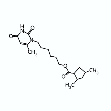 Cc1cc(=O)[nH]c(=O)n1CCCCCCOC(=O)C1CC(C)CC1C